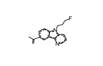 C=C(C)c1ccc2c(c1)c1ncccc1n2CCCF